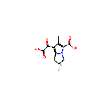 Cc1c(C(=O)C(=O)O)c2n(c1C(=O)O)C[C@H](F)C2